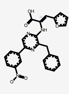 O=C(O)/C(=C/c1ccco1)Nc1ncc(-c2cccc([N+](=O)[O-])c2)nc1Cc1ccccc1